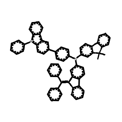 CC1(C)c2ccccc2-c2ccc(N(c3ccc(-c4ccc5c(c4)c4ccccc4n5-c4ccccc4)cc3)c3ccc4c(c3)C(=C(c3ccccc3)c3ccccc3)c3ccccc3-4)cc21